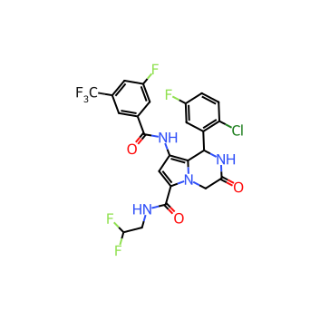 O=C1Cn2c(C(=O)NCC(F)F)cc(NC(=O)c3cc(F)cc(C(F)(F)F)c3)c2C(c2cc(F)ccc2Cl)N1